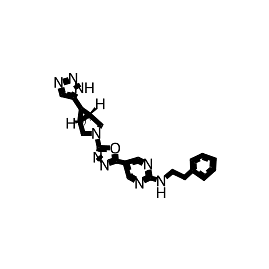 c1ccc(CCNc2ncc(-c3nnc(N4C[C@@H]5C(c6cnn[nH]6)[C@@H]5C4)o3)cn2)cc1